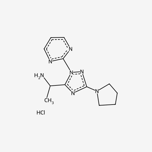 CC(N)c1nc(N2CCCC2)nn1-c1ncccn1.Cl